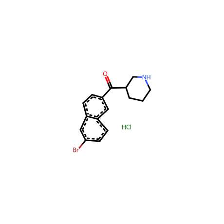 Cl.O=C(c1ccc2cc(Br)ccc2c1)C1CCCNC1